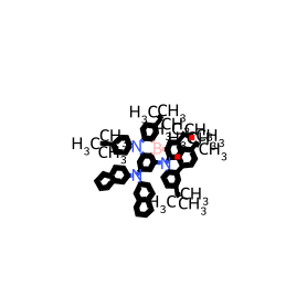 CC(C)(C)c1ccc(-c2cc(C(C)(C)C)ccc2N2c3ccc(C(C)(C)C)cc3B3c4cc(C(C)(C)C)ccc4N(c4ccc(C(C)(C)C)cc4)c4cc(N(c5ccc6ccccc6c5)c5ccc6ccccc6c5)cc2c43)cc1